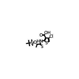 CC(O[Si](C)(C)C(C)(C)C)C(=S)Nc1scc(Cl)c1C(=O)O